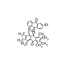 CCc1ccc2c(c1)C(=O)c1ccccc1C2=O.Cc1c(C)c(C)c2c(c1C)C(=O)c1c(C)c(C)c(C)c(C)c1C2=O